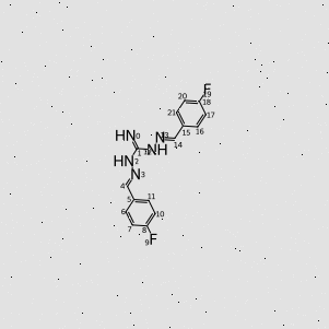 N=C(N/N=C/c1ccc(F)cc1)N/N=C/c1ccc(F)cc1